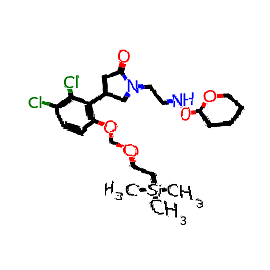 C[Si](C)(C)CCOCOc1ccc(Cl)c(Cl)c1C1CC(=O)N(CCNOC2CCCCO2)C1